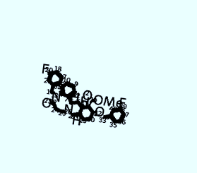 COC(=O)[C@@H]1[C@H]2C[C@H]3c4ccccc4N(Cc4cccc(F)c4)C(=O)CCN3C[C@@H]2CC[C@@H]1OCc1cccc(F)c1